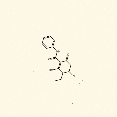 CCC1C(O)=C(C(=O)Nc2ccccc2)C(=O)CC1Cl